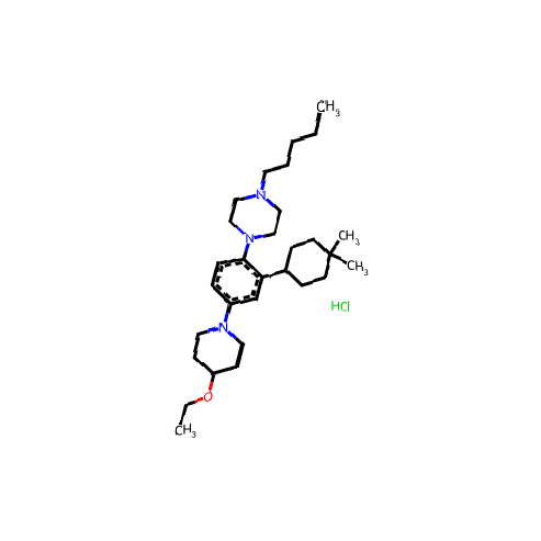 CCCCCN1CCN(c2ccc(N3CCC(OCC)CC3)cc2C2CCC(C)(C)CC2)CC1.Cl